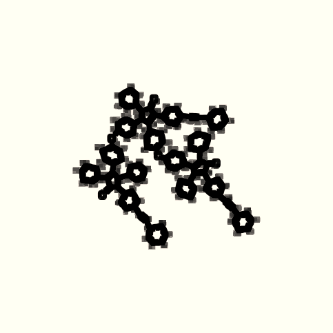 O=C1C(c2ccc(C#Cc3ccccc3)cc2)=C(c2ccccc2)C(c2ccc(Oc3ccc(C4=C(c5ccccc5)C(=O)C(c5ccc(C#Cc6ccccc6)cc5)=C4c4ccc(Oc5ccc(C6=C(c7ccccc7)C(=O)C(c7ccc(C#Cc8ccccc8)cc7)=C6c6ccccc6)cc5)cc4)cc3)cc2)=C1c1ccccc1